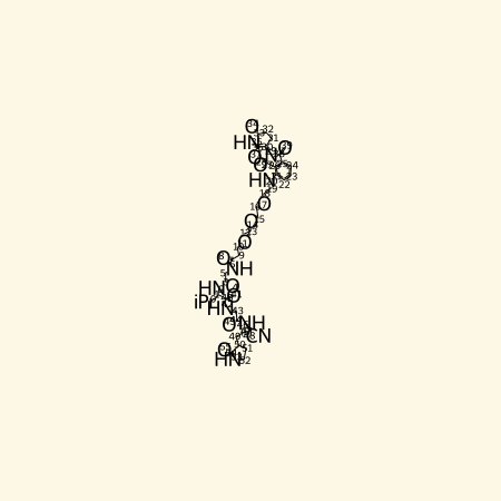 CC(C)C(NC(=O)CNC(=O)CCOCCOCCOCCNc1cccc2c1C(=O)N(C1CCC(=O)NC1=O)C2=O)C(=O)NCC(=O)N[C@H](C#N)CC1CCNC1=O